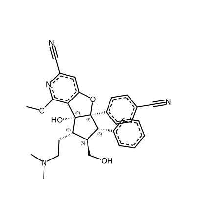 COc1nc(C#N)cc2c1[C@]1(O)[C@@H](CCN(C)C)[C@H](CO)[C@@H](c3ccccc3)[C@]1(c1ccc(C#N)cc1)O2